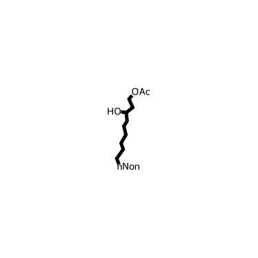 CCCCCCCCCCCCCCCC(O)CCOC(C)=O